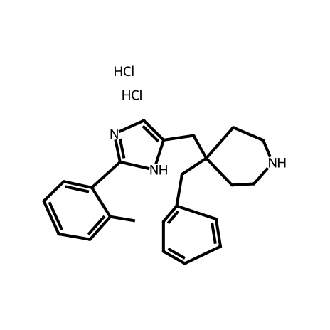 Cc1ccccc1-c1ncc(CC2(Cc3ccccc3)CCNCC2)[nH]1.Cl.Cl